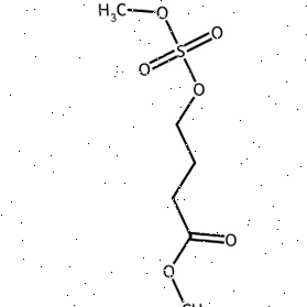 COC(=O)CCCOS(=O)(=O)OC